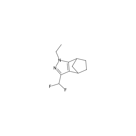 CCn1nc(C(F)F)c2c1C1CCC2C1